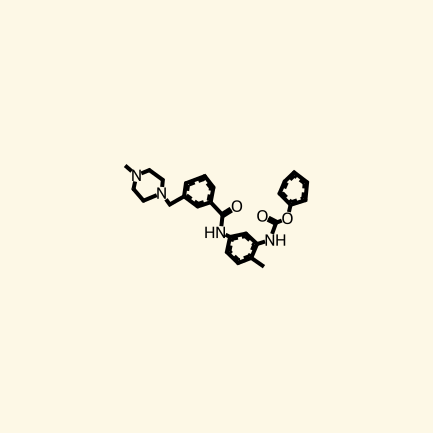 Cc1ccc(NC(=O)c2cccc(CN3CCN(C)CC3)c2)cc1NC(=O)Oc1ccccc1